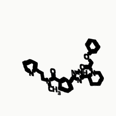 CN(CCc1ccccn1)C(=O)c1cccc(-c2n[nH]c(C3CCCCN3C(=O)COc3ccccc3)n2)c1